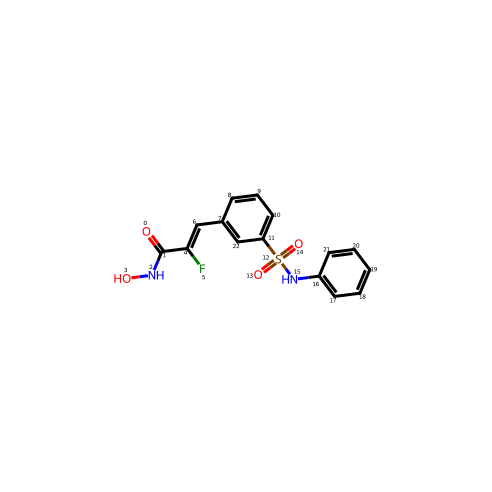 O=C(NO)/C(F)=C/c1cccc(S(=O)(=O)Nc2ccccc2)c1